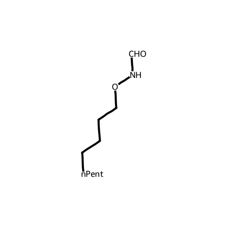 CCCCCCCCCONC=O